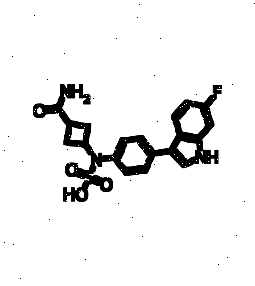 NC(=O)C1CC(N(c2ccc(-c3c[nH]c4cc(F)ccc34)cc2)S(=O)(=O)O)C1